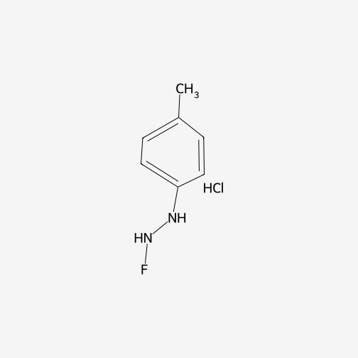 Cc1ccc(NNF)cc1.Cl